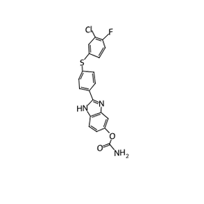 NC(=O)Oc1ccc2[nH]c(-c3ccc(Sc4ccc(F)c(Cl)c4)cc3)nc2c1